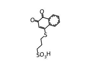 O=C1C=C(SCCCS(=O)(=O)O)c2ccccc2C1=O